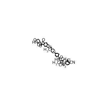 CC1(CN2Cc3cc4c(cc3C2)C(=O)N(C2CCC(=O)NC2=O)C4=O)CCN(c2ccc(C(=O)N[C@H]3C(C)(C)[C@H](Oc4ccc(C#N)c(Cl)c4)C3(C)C)cc2)CC1